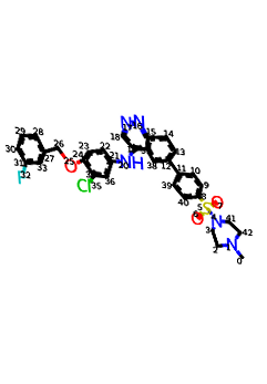 CN1CCN(S(=O)(=O)c2ccc(-c3ccc4nncc(Nc5ccc(OCc6cccc(F)c6)c(Cl)c5)c4c3)cc2)CC1